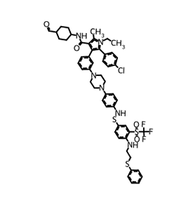 CCn1c(C)c(C(=O)NC2CCC(C=O)CC2)c(-c2cccc(N3CCN(c4ccc(NSc5ccc(NCCSc6ccccc6)c(S(=O)(=O)C(F)(F)F)c5)cc4)CC3)c2)c1-c1ccc(Cl)cc1